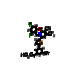 CC(C)c1cc(CC(=O)O)cc(-c2ccc(-c3cc(C(F)(F)F)c(C#N)c(=O)n3Cc3ccc(F)cc3F)s2)c1